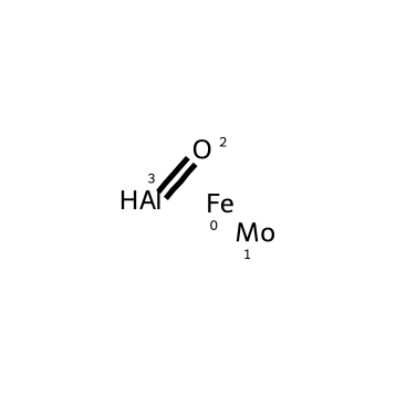 [Fe].[Mo].[O]=[AlH]